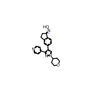 O/N=C1\CCc2cc(-c3cn(C4CCOCC4)nc3-c3ccncc3)ccc21